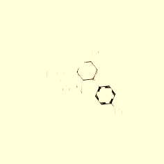 CCOC(=O)[C@@H]1O[C@H](O)[C@H](C)[C@@H](c2ccc(Br)cc2)[C@@H]1[N+](=O)[O-]